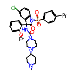 CCOc1ccccc1C1(NC(=O)N2CCN(C3CCN(C)CC3)CC2)C(=O)N(S(=O)(=O)c2ccc(C(C)C)cc2)c2ccc(Cl)cc21